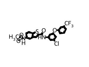 CS(=O)(=O)Nc1ccc2sc(C(=O)Nc3cc(Cl)cc(Oc4cccc(C(F)(F)F)c4)c3)cc2c1